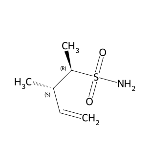 C=C[C@H](C)[C@@H](C)S(N)(=O)=O